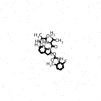 CN[C@@H](C)C(=O)N[C@H](C(=O)N1c2ncccc2C[C@@H]1OC(=O)Nc1c(C)cccc1F)C(C)C